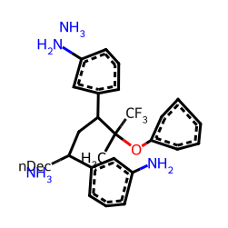 CCCCCCCCCCC(CC(c1cccc(N)c1)C(C)(Oc1ccccc1)C(F)(F)F)c1cccc(N)c1.N.N